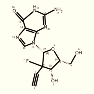 C#CC1(F)[C@@H](O)[C@@H](CO)O[C@H]1n1cnc2c(=O)[nH]c(N)nc21